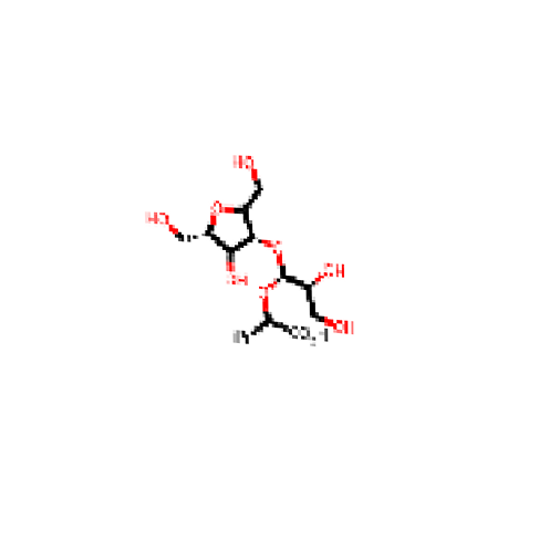 CC(C)C(O[C@@H](O[C@@H]1C(CO)O[C@@H](CO)C1O)[C@@H](O)CO)C(=O)O